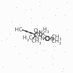 C#CC#CC#Cc1c(C(C)C)nc2n(c1=O)N=C(C)C2=Nc1ccc(N(C)C)cc1